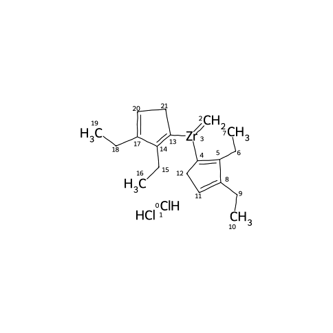 Cl.Cl.[CH2]=[Zr]([C]1=C(CC)C(CC)=CC1)[C]1=C(CC)C(CC)=CC1